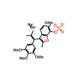 COc1cc(C(=C(C)C)c2c(C)oc3c(OP(=O)([O-])[O-])c(OC)ccc23)cc(OC)c1OC.[Na+].[Na+]